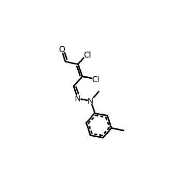 Cc1cccc(N(C)/N=C\C(Cl)=C(\Cl)C=O)c1